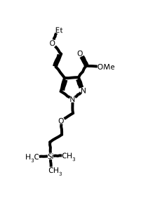 CCO/C=C/c1cn(COCC[Si](C)(C)C)nc1C(=O)OC